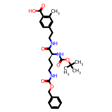 Cc1cc(CCNC(=O)[C@H](CCCNC(=O)OCc2ccccc2)NC(=O)OC(C)(C)C)ccc1C(=O)O